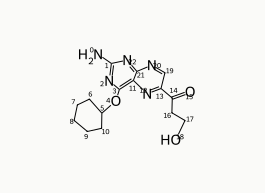 Nc1nc(OC2CCCCC2)c2nc(C(=O)CCO)cnc2n1